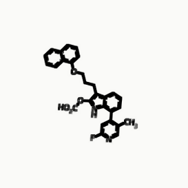 Cc1cnc(F)cc1-c1cccc2c(CCCOc3cccc4ccccc34)c(OC(=O)O)[nH]c12